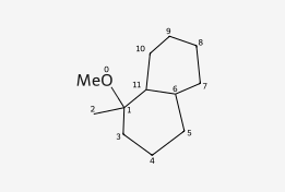 COC1(C)CCCC2CCCCC21